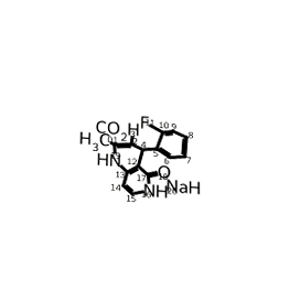 CC1=C(C(=O)O)C(c2ccccc2F)c2c(cc[nH]c2=O)N1.[NaH]